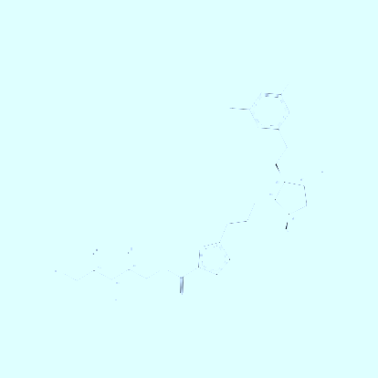 O=C(OC[C@@H](O)[C@H](O)[C@@H](O)CO)c1ccc(CCC[C@@H]2[C@@H](CCc3cc(Cl)cc(Cl)c3)[C@H](O)C[C@H]2Cl)s1